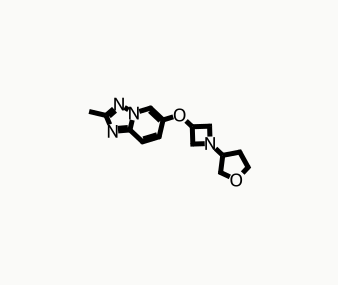 Cc1nc2ccc(OC3CN(C4CCOC4)C3)cn2n1